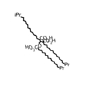 CC(C)CCCCCCCCCCCCCC(OCC(C(CCCCCCCCCCCCCC(C)C)C(=O)O)C(CCCCCCCCCCCCCC(C)C)C(=O)O)C(=O)O